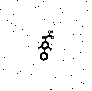 O=C(O)Nc1cc(F)c(-c2ccccc2)c(F)c1